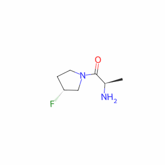 C[C@@H](N)C(=O)N1CC[C@@H](F)C1